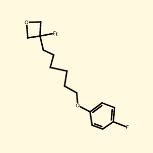 CCC1(CCCCCCOc2ccc(F)cc2)COC1